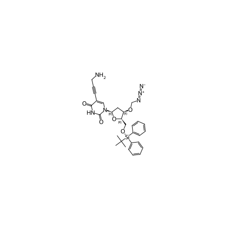 CC(C)(C)[Si](OC[C@H]1O[C@@H](n2cc(C#CCN)c(=O)[nH]c2=O)C[C@H]1OCN=[N+]=[N-])(c1ccccc1)c1ccccc1